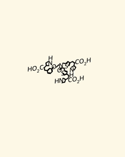 O=C(O)C(Cc1cccc(OCCN(Cc2cc(CC(C(=O)O)C3CCNC3)cs2)C(=O)Cc2cc(CC(C(=O)O)C3CCNC3)cs2)c1)C1CCNC1